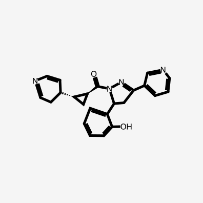 O=C([C@H]1C[C@@H]1C1C=CN=CC1)N1N=C(c2cccnc2)CC1c1ccccc1O